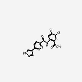 O=C(Nc1cc(Cl)c(Cl)nc1C(=O)O)c1ccc(-c2cn[nH]c2)nn1